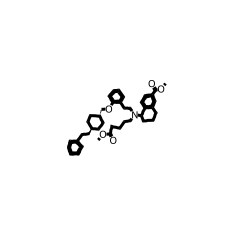 COC(=O)CCCCN(CCc1ccccc1OC[C@H]1CC[C@H](CCc2ccccc2)CC1)C1CCCc2cc(C(=O)OC)ccc21